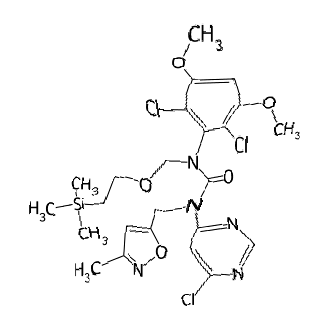 COc1cc(OC)c(Cl)c(N(COCC[Si](C)(C)C)C(=O)N(Cc2cc(C)no2)c2cc(Cl)ncn2)c1Cl